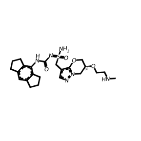 CNCCO[C@@H]1COc2c(CS(N)(=O)=NC(=O)Nc3c4c(cc5c3CCC5)CCC4)cnn2C1